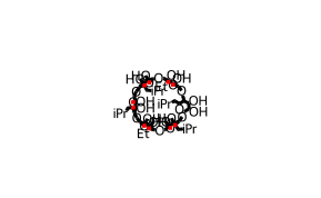 CCC1OC2OC3C(CC(C)C)OC(OC4C(CC(C)C)OC(OC5C(CC)OC(OC6C(CC(C)C)OC(OC7C(CC(C)C)OC(OC1C(O)C2O)C(O)C7O)C(O)C6O)C(O)C5O)C(O)C4O)C(O)C3O